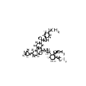 COc1ccc(NC(=O)N2CCN(c3cc(-n4ccnc4)ncn3)C(C(=O)NCCc3cccc(OC)c3OC)C2)cc1